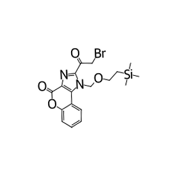 C[Si](C)(C)CCOCn1c(C(=O)CBr)nc2c(=O)oc3ccccc3c21